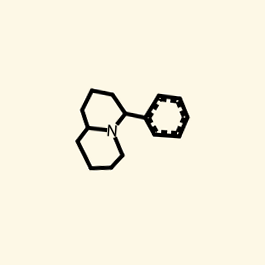 c1ccc(C2CCCC3CCCCN32)cc1